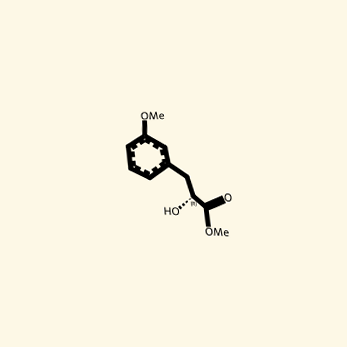 COC(=O)[C@H](O)Cc1cccc(OC)c1